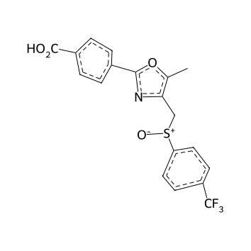 Cc1oc(-c2ccc(C(=O)O)cc2)nc1C[S+]([O-])c1ccc(C(F)(F)F)cc1